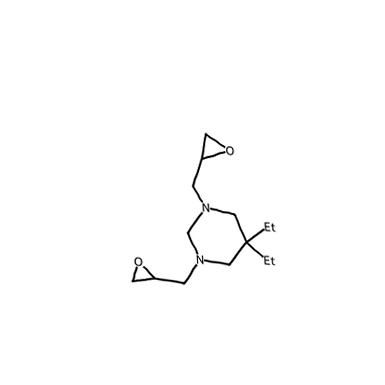 CCC1(CC)CN(CC2CO2)CN(CC2CO2)C1